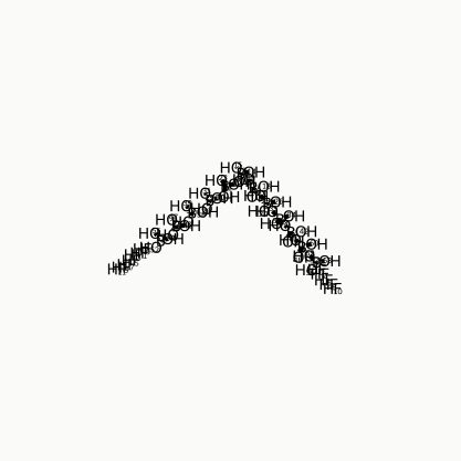 F.F.F.F.F.F.F.F.F.F.F.F.OB(O)O.OB(O)O.OB(O)O.OB(O)O.OB(O)O.OB(O)O.OB(O)O.OB(O)O.OB(O)O.OB(O)O.OB(O)O.OB(O)O